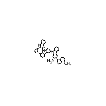 C=C/C=C\Cc1ccccc1-c1cc2c3ccccc3n(-c3ccc4c(c3)c3cccc5c3n4-c3nc4ccccc4nc3C3=CC=CC5C3)c2cc1N